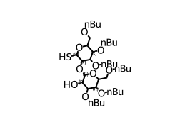 CCCCOCC1O[C@H](O[C@@H]2C(OCCCC)[C@H](OCCCC)C(COCCCC)O[C@@H]2S)[C@H](O)C(OCCCC)[C@@H]1OCCCC